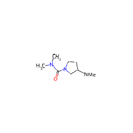 CNC1CCN(C(=O)N(C)C)C1